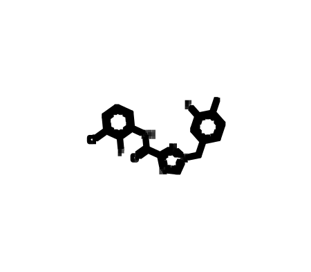 Cc1ccc(Cn2cnc(C(=O)Nc3cccc(Cl)c3F)n2)cc1F